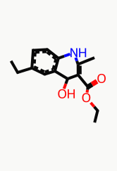 CCOC(=O)C1=C(C)Nc2ccc(CC)cc2C1O